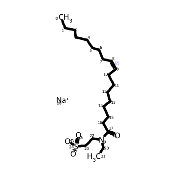 CCCCCCCC/C=C\CCCCCCCC(=O)N(CC)CCS(=O)(=O)[O-].[Na+]